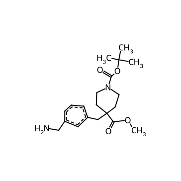 COC(=O)C1(Cc2cccc(CN)c2)CCN(C(=O)OC(C)(C)C)CC1